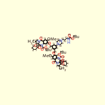 C=C1C[C@H]2[C@H](OC3CCCCO3)N(C(=O)OC(C)(C)C)c3cc(OCc4cc(COc5cc6c(cc5OC)C(=O)N5CC(=C)C[C@H]5[C@H](OC5CCCCO5)N6C(=O)OC(C)(C)C)cc(N5CCN(CCCNC(=O)OC(C)(C)C)CC5)c4)c(OC)cc3C(=O)N2C1